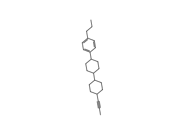 CC#CC1CCC(C2CCC(c3ccc(CCC)cc3)CC2)CC1